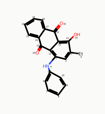 CCc1cc(Nc2ccccc2)c2c(c1O)C(=O)c1ccccc1C2=O